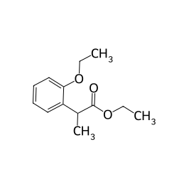 CCOC(=O)C(C)c1ccccc1OCC